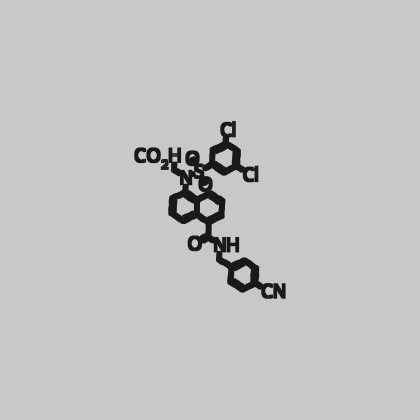 N#Cc1ccc(CNC(=O)c2cccc3c(N(CC(=O)O)S(=O)(=O)c4cc(Cl)cc(Cl)c4)cccc23)cc1